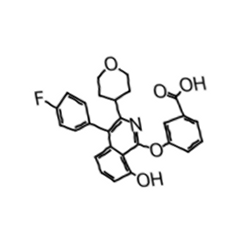 O=C(O)c1cccc(Oc2nc(C3CCOCC3)c(-c3ccc(F)cc3)c3cccc(O)c23)c1